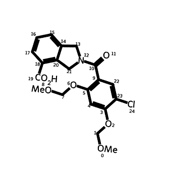 COCOc1cc(OCOC)c(C(=O)N2Cc3cccc(C(=O)O)c3C2)cc1Cl